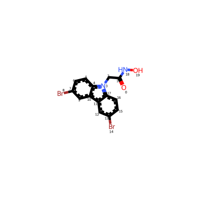 O=C(Cn1c2ccc(Br)cc2c2cc(Br)ccc21)NO